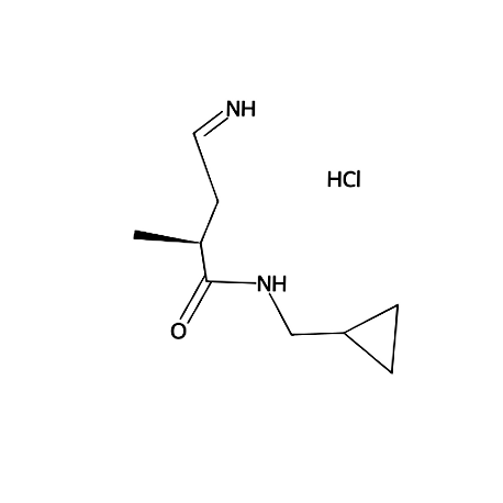 C[C@@H](CC=N)C(=O)NCC1CC1.Cl